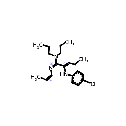 C\C=C/N=C(\C(=C\CC)Nc1ccc(Cl)cc1)N(CCC)CCC